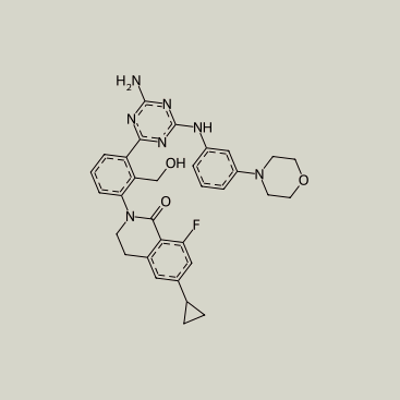 Nc1nc(Nc2cccc(N3CCOCC3)c2)nc(-c2cccc(N3CCc4cc(C5CC5)cc(F)c4C3=O)c2CO)n1